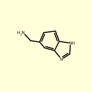 NCc1ccc2[nH][c]nc2c1